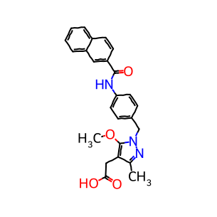 COc1c(CC(=O)O)c(C)nn1Cc1ccc(NC(=O)c2ccc3ccccc3c2)cc1